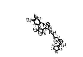 O=c1onc(-c2nonc2NCCCS(=O)(=O)NC2CCCC2)n1-c1ccc(F)c(Br)c1